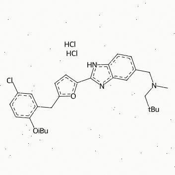 CC(C)COc1ccc(Cl)cc1Cc1ccc(-c2nc3cc(CN(C)CC(C)(C)C)ccc3[nH]2)o1.Cl.Cl